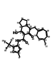 Cc1cc(NC(=O)C2=C(O)C3CCCN3N(CC3=CC=CC(F)=CC3)C2=O)c(C(F)(F)F)o1